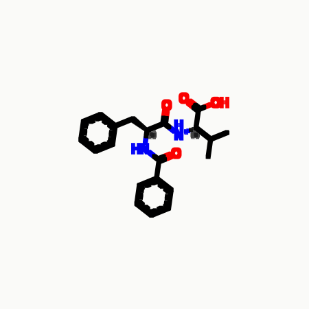 CC(C)[C@H](NC(=O)[C@H](Cc1ccccc1)NC(=O)c1ccccc1)C(=O)O